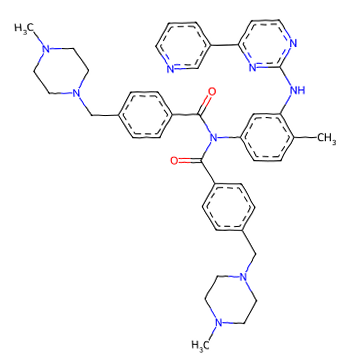 Cc1ccc(N(C(=O)c2ccc(CN3CCN(C)CC3)cc2)C(=O)c2ccc(CN3CCN(C)CC3)cc2)cc1Nc1nccc(-c2cccnc2)n1